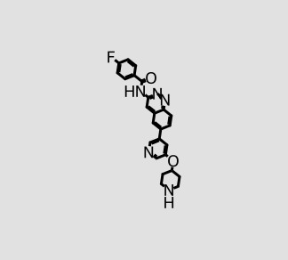 O=C(Nc1cc2cc(-c3cncc(OC4CCNCC4)c3)ccc2nn1)c1ccc(F)cc1